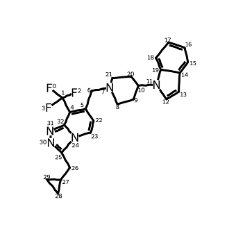 FC(F)(F)c1c(CN2CCC(n3ccc4ccccc43)CC2)ccn2c(CC3CC3)nnc12